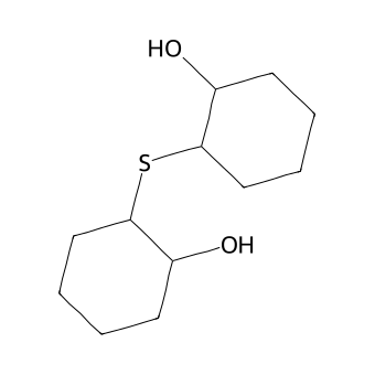 OC1CCCCC1SC1CCCCC1O